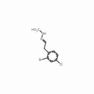 O=C(O)NN=CCc1ccc(Cl)cc1Br